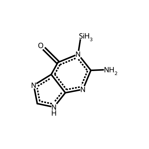 Nc1nc2[nH]cnc2c(=O)n1[SiH3]